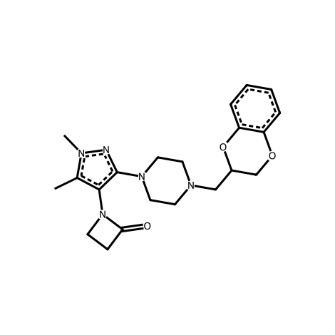 Cc1c(N2CCC2=O)c(N2CCN(CC3COc4ccccc4O3)CC2)nn1C